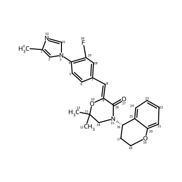 Cc1cn(-c2ccc(/C=C3\OC(C)(C)CN([C@H]4CCOc5ccccc54)C3=O)cc2F)cn1